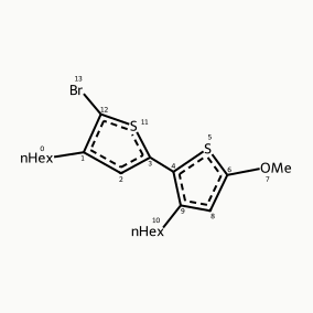 CCCCCCc1cc(-c2sc(OC)cc2CCCCCC)sc1Br